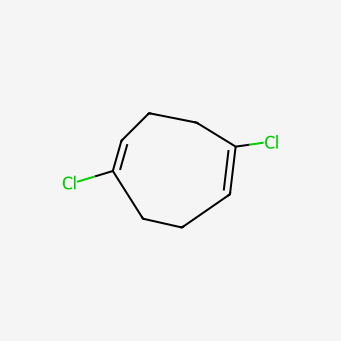 ClC1=CCCC(Cl)=CCC1